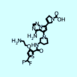 NCCOc1cc(C(F)F)sc1C(=O)NC1CCCN(c2cc(C3=CCN(C(=O)O)C3)n3ncnc(N)c23)C1